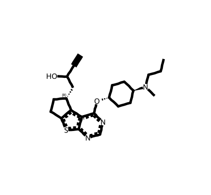 C#CC(O)C[C@H]1CCc2sc3ncnc(O[C@H]4CC[C@H](N(C)CCC)CC4)c3c21